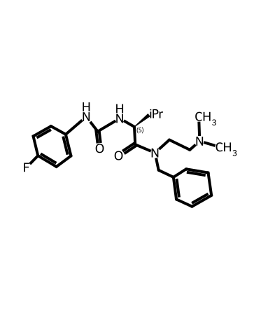 CC(C)[C@H](NC(=O)Nc1ccc(F)cc1)C(=O)N(CCN(C)C)Cc1ccccc1